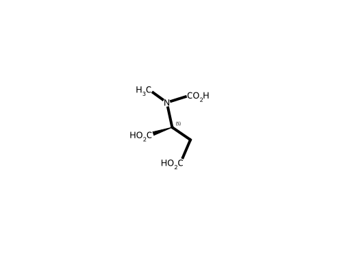 CN(C(=O)O)[C@@H](CC(=O)O)C(=O)O